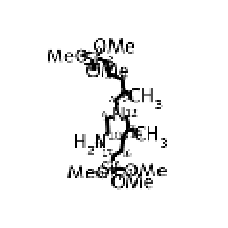 CO[Si](CCCC(C)CN(CCN)CC(C)CCC[Si](OC)(OC)OC)(OC)OC